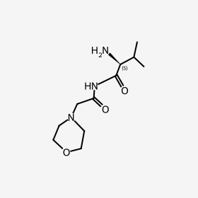 CC(C)[C@H](N)C(=O)NC(=O)CN1CCOCC1